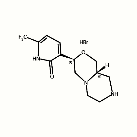 Br.O=c1[nH]c(C(F)(F)F)ccc1[C@@H]1CN2CCNC[C@H]2CO1